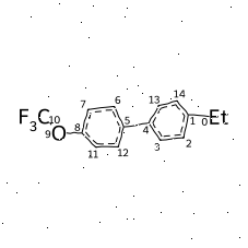 [CH2]Cc1ccc(-c2ccc(OC(F)(F)F)cc2)cc1